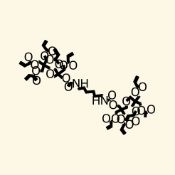 C=CC(=O)OCC(COCC(COC(=O)C=C)(COC(=O)C=C)COC(=O)NCCCCCCNC(=O)OCC(COCC(COC(=O)C=C)(COC(=O)C=C)COC(=O)C=C)(COC(=O)C=C)COC(=O)C=C)(COC(C)=O)COC(=O)C=C